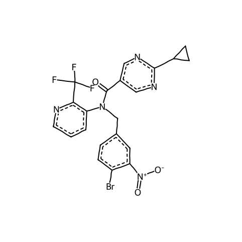 O=C(c1cnc(C2CC2)nc1)N(Cc1ccc(Br)c([N+](=O)[O-])c1)c1cccnc1C(F)(F)F